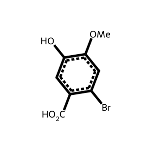 COc1cc(Br)c(C(=O)O)cc1O